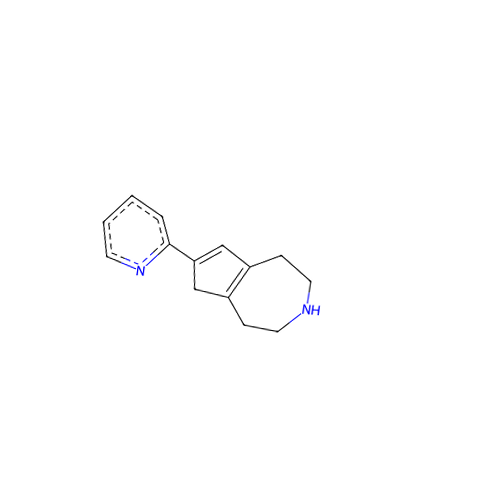 C1=C(c2ccccn2)CC2=C1CCNCC2